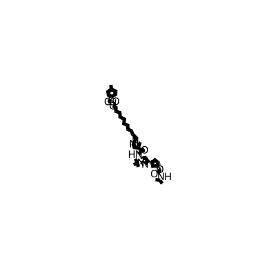 Cc1ccc(S(=O)(=O)OCCCCCCCCCCCn2cc(C(=O)Nc3cc([C@H]4CC[C@@H](OC(=O)NC(C)C)C4)nn3C(C)(C)C)cn2)cc1